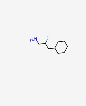 NCC(F)CC1CCCCC1